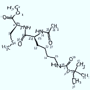 COC(=O)[C@H](CSC)NC(=O)[C@H](CCCCNC(=O)OC(C)(C)C)NC(C)=O